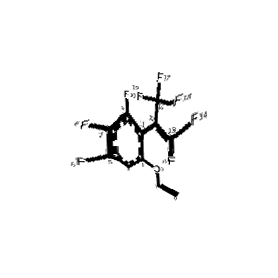 C=COc1cc(F)c(F)c(F)c1C(=C(F)F)C(F)(F)F